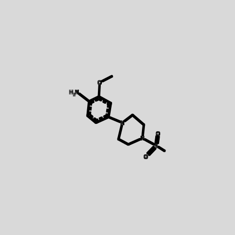 COc1cc(N2CCN(S(C)(=O)=O)CC2)ccc1N